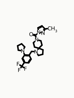 Cc1ccn(C(=O)N2CCC3(CCCN3Cc3ccc(C(F)(F)F)cc3N3CCCC3)CC2)n1